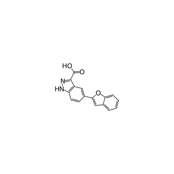 O=C(O)c1n[nH]c2ccc(-c3cc4ccccc4o3)cc12